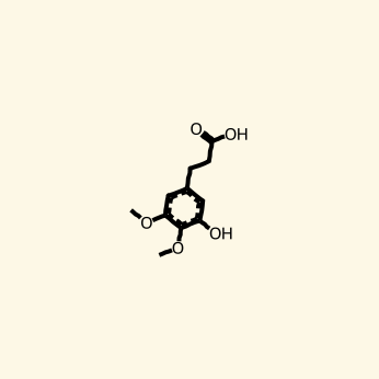 COc1cc(CCC(=O)O)cc(O)c1OC